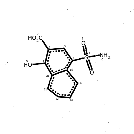 NS(=O)(=O)c1cc(C(=O)O)c(O)c2ccccc12